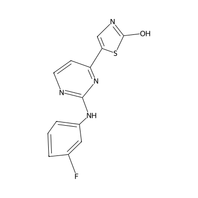 Oc1ncc(-c2ccnc(Nc3cccc(F)c3)n2)s1